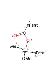 CCCCCC(=O)O[Si](CCCCC)(OC)OC